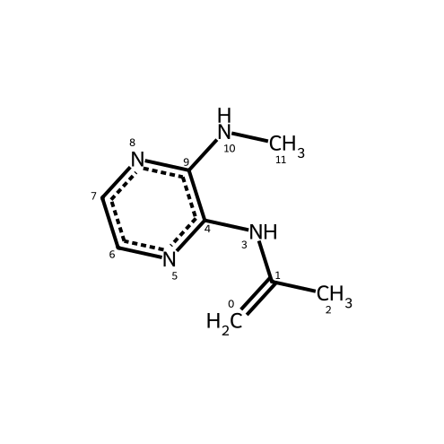 C=C(C)Nc1nccnc1NC